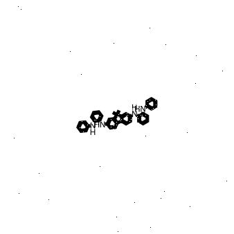 CC1(C)c2cc(Nc3ccccc3Nc3ccccc3)ccc2-c2ccc(Nc3ccccc3Nc3ccccc3)cc21